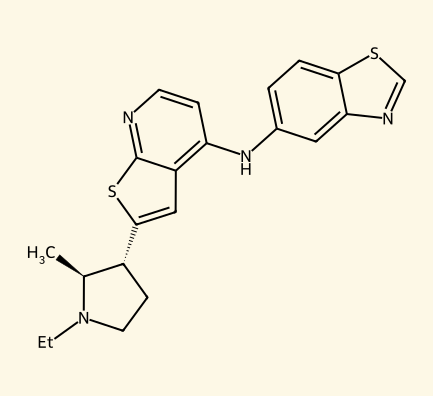 CCN1CC[C@@H](c2cc3c(Nc4ccc5scnc5c4)ccnc3s2)[C@@H]1C